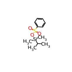 CC(C)[Si](C)(C)OS(=O)(=O)c1ccccc1